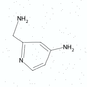 NCc1cc(N)ccn1